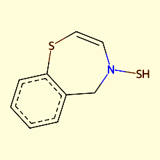 SN1C=CSc2ccccc2C1